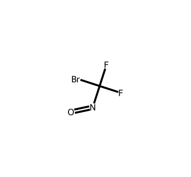 O=NC(F)(F)Br